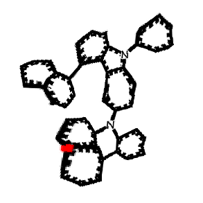 c1ccc(-c2ccccc2N(c2ccccc2)c2ccc3c(c2)c2c(-c4cccc5ccccc45)cccc2n3-c2ccccc2)cc1